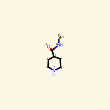 CCCNC(=O)C1CCNCC1